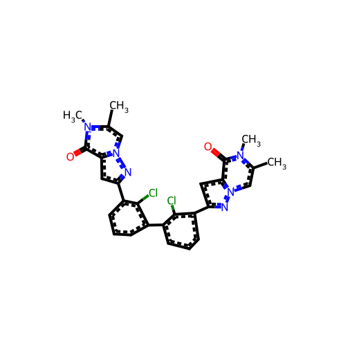 Cc1cn2nc(-c3cccc(-c4cccc(-c5cc6c(=O)n(C)c(C)cn6n5)c4Cl)c3Cl)cc2c(=O)n1C